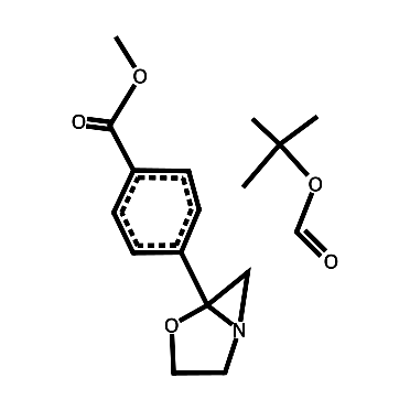 CC(C)(C)OC=O.COC(=O)c1ccc(C23CN2CCO3)cc1